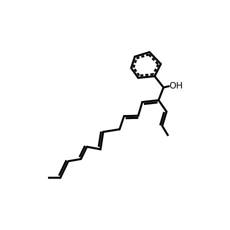 CC=CC=CC=CCC=CC=C(C=CC)C(O)c1ccccc1